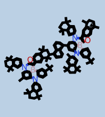 Cc1cc2c3c(c1)N(c1ccc4c(c1)C(C)(C)CCC4(C)C)c1oc4cc5c(cc4c1B3c1cc(C(C)(C)C)ccc1N2c1ccc2c(c1)C(C)(C)CCC2(C)C)C(C)(C)C(c1cccc2c(-c3cc4c6c(c3)N(c3ccc7c(c3)C(C)(C)CCC7(C)C)c3c(oc7cc8c(cc37)C3(C)CCC8(C)CC3)B6c3ccc(C(C)(C)C)cc3N4c3cc4c(cc3C)C(C)(C)CCC4(C)C)cccc12)CC5(C)C